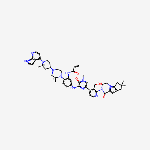 C=CC(=O)Nc1cc(Nc2nc(-c3ccnc(N4CCn5c(cc6c5CC(C)(C)C6)C4=O)c3CO)cn(C)c2=O)ccc1N1CCN(C2CCN(c3ccnc4[nH]ccc34)[C@H](C)C2)C[C@@H]1C